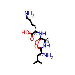 CC(C)C[C@H](N)C(=O)N[C@@H](C)C(=O)N[C@@H](CCCCN)C(=O)O